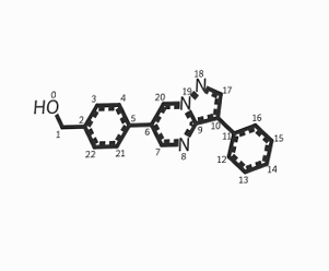 OCc1ccc(-c2cnc3c(-c4ccccc4)cnn3c2)cc1